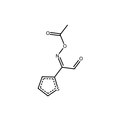 CC(=O)ON=C([C]=O)c1cccs1